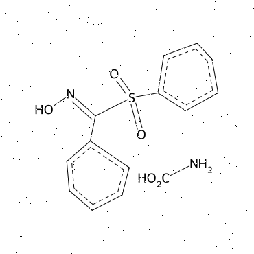 NC(=O)O.O=S(=O)(/C(=N/O)c1ccccc1)c1ccccc1